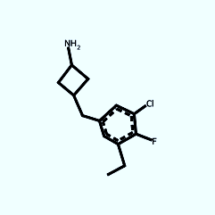 CCc1cc(CC2CC(N)C2)cc(Cl)c1F